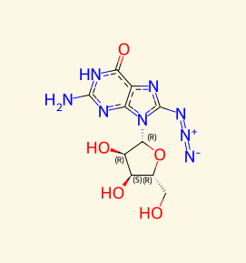 [N-]=[N+]=Nc1nc2c(=O)[nH]c(N)nc2n1[C@@H]1O[C@H](CO)[C@@H](O)[C@H]1O